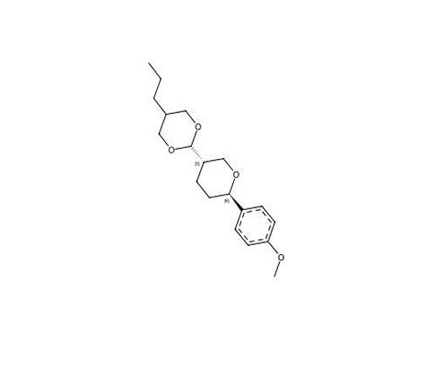 CCCC1COC([C@H]2CC[C@H](c3ccc(OC)cc3)OC2)OC1